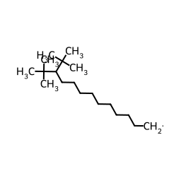 [CH2]CCCCCCCCCC(C(C)(C)C)C(C)(C)C